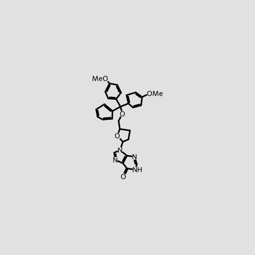 COc1ccc(C(OCC2CCC(n3cnc4c(=O)[nH]cnc43)O2)(c2ccccc2)c2ccc(OC)cc2)cc1